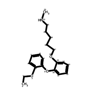 CCOc1ccccc1Oc1ccccc1OCCCCCNC